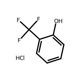 Cl.Oc1ccccc1C(F)(F)F